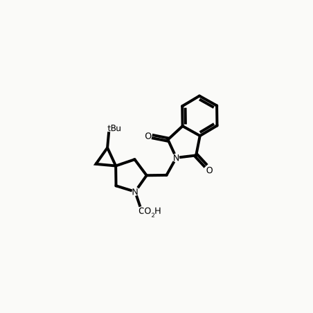 CC(C)(C)C1CC12CC(CN1C(=O)c3ccccc3C1=O)N(C(=O)O)C2